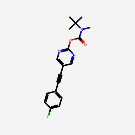 CN(C(=O)Oc1ncc(C#Cc2ccc(F)cc2)cn1)C(C)(C)C